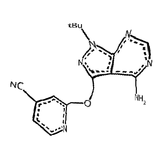 CC(C)(C)n1nc(Oc2cc(C#N)ccn2)c2c(N)ncnc21